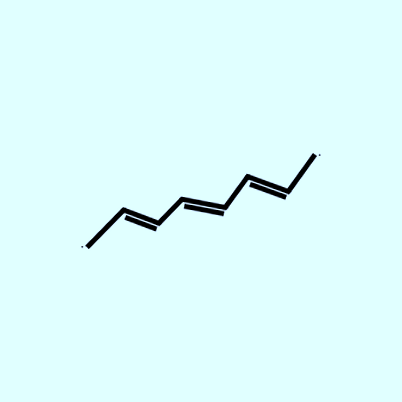 [CH2]/C=C/C=C/C=C/[CH2]